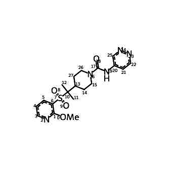 COc1ncccc1S(=O)(=O)C(C)(C)C1CCN(C(=O)Nc2ccnnc2)CC1